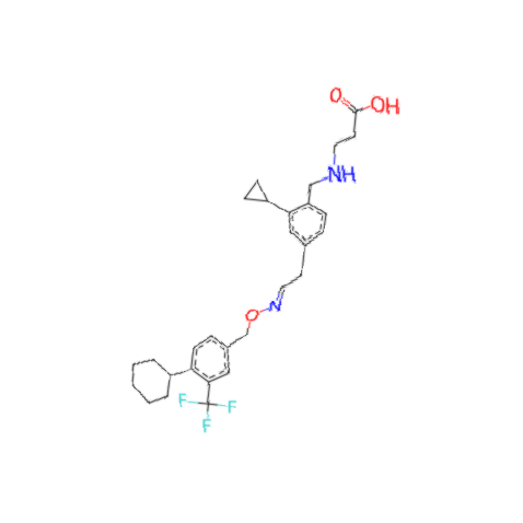 O=C(O)CCNCc1ccc(CC=NOCc2ccc(C3CCCCC3)c(C(F)(F)F)c2)cc1C1CC1